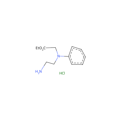 CCOC(=O)CN(CCN)c1ccccc1.Cl